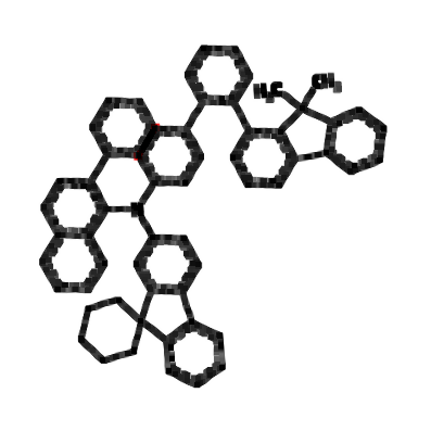 CC1(C)c2ccccc2-c2cccc(-c3ccccc3-c3ccc(N(c4ccc5c(c4)C4(CCCCC4)c4ccccc4-5)c4c(-c5ccccc5)ccc5ccccc45)cc3)c21